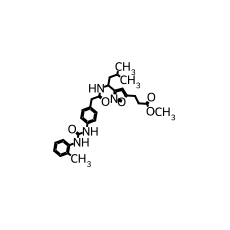 COC(=O)CCc1cc(C(CC(C)C)NC(=O)Cc2ccc(NC(=O)Nc3ccccc3C)cc2)no1